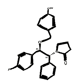 COc1ccc(CO[C@H](c2ccc(F)cc2)[C@@H](c2ccccc2)N2CCCC2=O)cc1